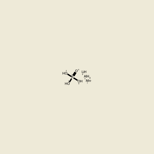 O=P(O)(O)O.[AlH3].[LiH].[Mn]